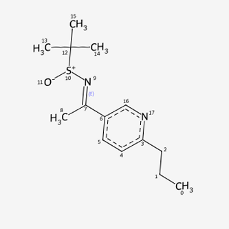 CCCc1ccc(/C(C)=N/[S+]([O-])C(C)(C)C)cn1